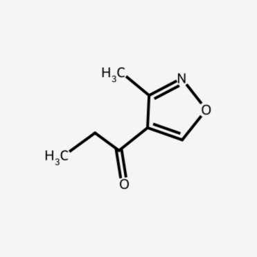 CCC(=O)c1conc1C